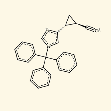 C#C[C@@H]1C[C@H]1c1cn(C(c2ccccc2)(c2ccccc2)c2ccccc2)cn1